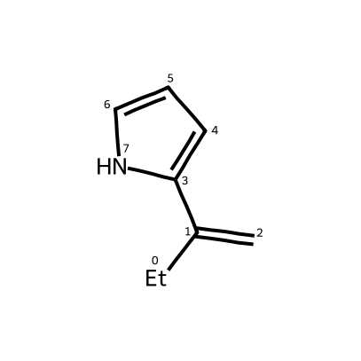 [CH2]CC(=C)c1ccc[nH]1